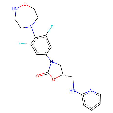 O=C1O[C@@H](CNc2ccccn2)CN1c1cc(F)c(N2CCNOCC2)c(F)c1